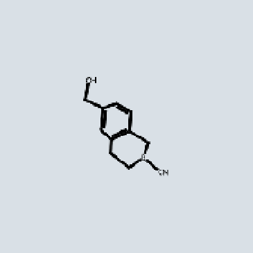 N#CB1CCc2cc(CO)ccc2C1